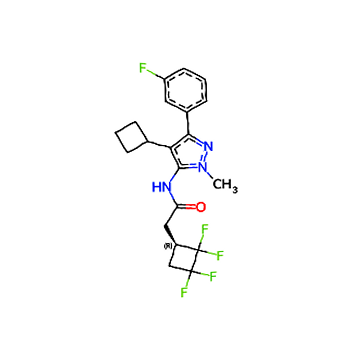 Cn1nc(-c2cccc(F)c2)c(C2CCC2)c1NC(=O)C[C@@H]1CC(F)(F)C1(F)F